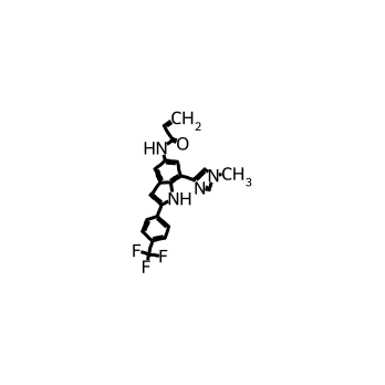 C=CC(=O)Nc1cc(-c2cn(C)cn2)c2[nH]c(-c3ccc(C(F)(F)F)cc3)cc2c1